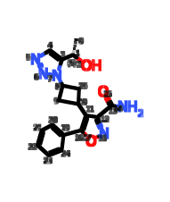 C[C@H](O)c1cnnn1C1CC(c2c(C(N)=O)noc2-c2ccccc2)C1